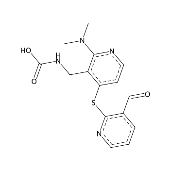 CN(C)c1nccc(Sc2ncccc2C=O)c1CNC(=O)O